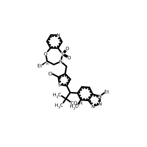 CC[C@@H]1CN(Cc2cc(C(c3ccc4c(nnn4CC)c3C)C(C)(C)C(=O)O)sc2Cl)S(=O)(=O)c2cnccc2O1